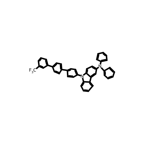 FC(F)(F)c1cccc(-c2ccc(-c3ccc(-n4c5ccccc5c5cc(N(c6ccccc6)c6ccccc6)ccc54)cc3)cc2)c1